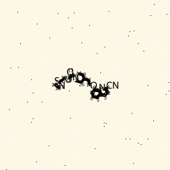 N#Cc1ccc2cccc(OCCC3CCN(C(=O)OCc4nccs4)CC3)c2n1